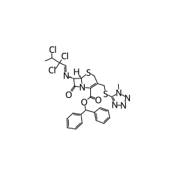 CC(Cl)C(Cl)(Cl)C=N[C@@H]1C(=O)N2C(C(=O)OC(c3ccccc3)c3ccccc3)=C(CSc3nnnn3C)CS[C@@H]12